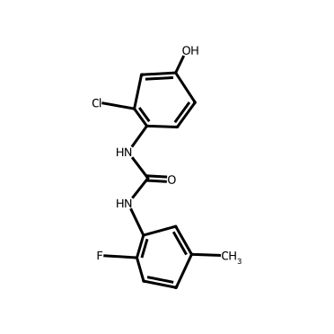 Cc1ccc(F)c(NC(=O)Nc2ccc(O)cc2Cl)c1